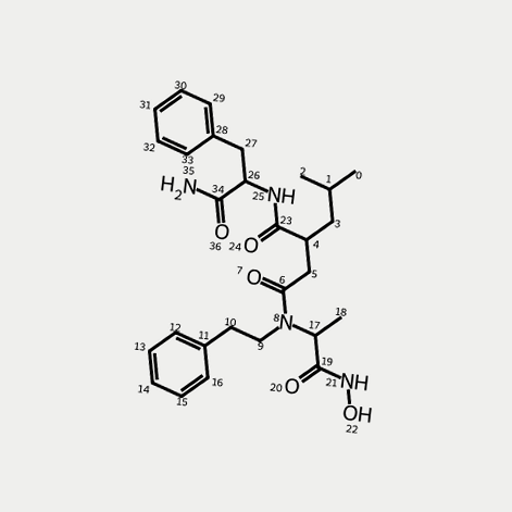 CC(C)CC(CC(=O)N(CCc1ccccc1)C(C)C(=O)NO)C(=O)NC(Cc1ccccc1)C(N)=O